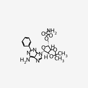 CC1(C)O[C@@H]2[C@H](O1)[C@@H](COS(N)(=O)=O)O[C@H]2n1cnc2c(N)nc(-c3ccccc3)nc21